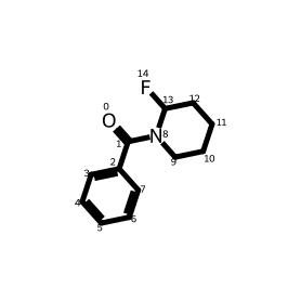 O=C(c1ccccc1)N1CCCCC1F